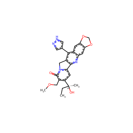 CC[C@](C)(O)c1cc2n(c(=O)c1COC)Cc1c-2nc2cc3c(cc2c1-c1cn[nH]c1)OCO3